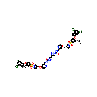 Cc1cc(S(=O)(=O)N2CC[C@@H](COc3ccnc(CNC(=O)NCCCCNC(=O)NCc4cc(OC[C@@H]5CCN(S(=O)(=O)c6ccc(O[C@@H]7CCc8c(Cl)cc(Cl)cc87)c(C)c6)C5)ccn4)c3)C2)ccc1O[C@@H]1CCc2c(Cl)cc(Cl)cc21